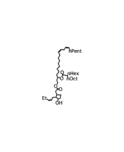 CC/C=C\CC1C(O)CCC1CC(=O)OCCC(CCCCCCCC/C=C\C/C=C\CCCCC)OC(=O)C(CCCCCC)CCCCCCCC